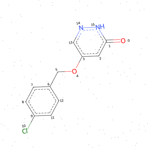 O=c1cc(OCc2ccc(Cl)cc2)cn[nH]1